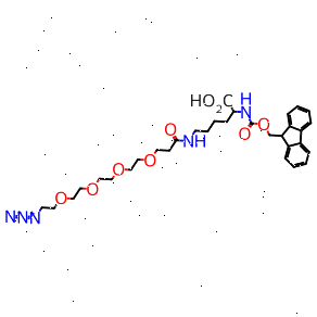 [N-]=[N+]=NCCOCCOCCOCCOCCC(=O)NCCCCC(NC(=O)OCC1c2ccccc2-c2ccccc21)C(=O)O